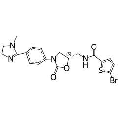 CN1CCN=C1c1ccc(N2C[C@H](CNC(=O)c3ccc(Br)s3)OC2=O)cc1